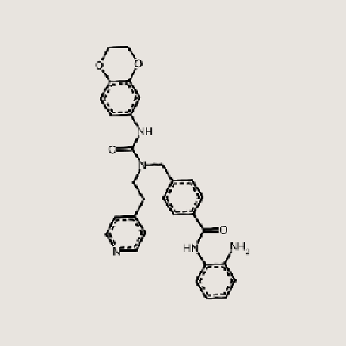 Nc1ccccc1NC(=O)c1ccc(CN(CCc2ccncc2)C(=O)Nc2ccc3c(c2)OCCO3)cc1